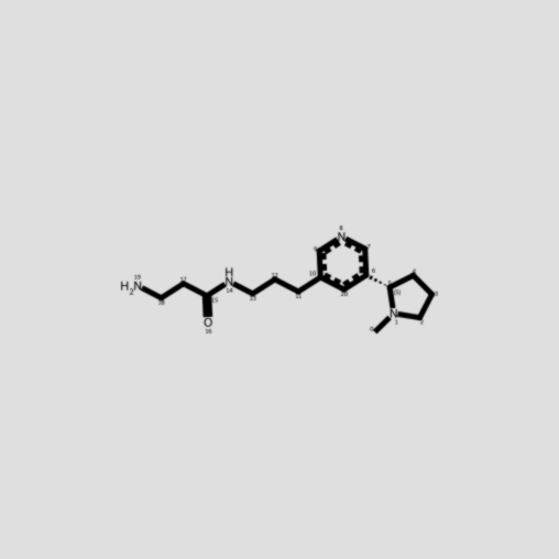 CN1CCC[C@H]1c1cncc(CCCNC(=O)CCN)c1